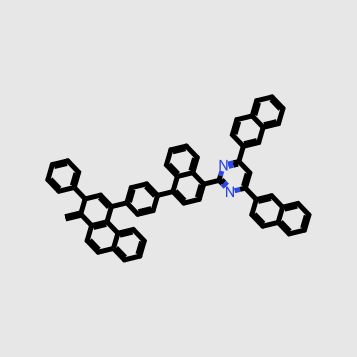 C=C1c2ccc3ccccc3c2C(c2ccc(-c3ccc(-c4nc(-c5ccc6ccccc6c5)cc(-c5ccc6ccccc6c5)n4)c4ccccc34)cc2)=CC1c1ccccc1